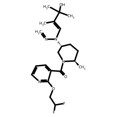 C=NN(/C=C(\C)C(C)(C)O)[C@@H]1CC[C@@H](C)N(C(=O)c2cccnc2OCC(F)F)C1